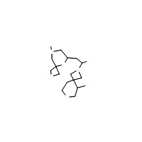 CC(C)N1CC(CC(C)N2CC3(CCOCC3N)C2)OC2(CNC2)C1